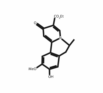 CCOC(=O)c1cn2c(cc1=O)-c1cc(OC)c(O)cc1CC2C